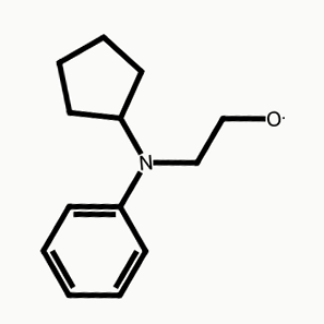 [O]CCN(c1ccccc1)C1CCCC1